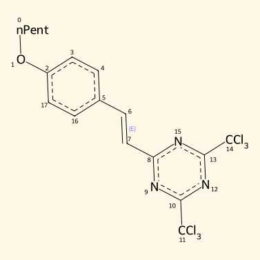 CCCCCOc1ccc(/C=C/c2nc(C(Cl)(Cl)Cl)nc(C(Cl)(Cl)Cl)n2)cc1